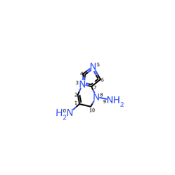 NC1=Cn2cncc2N(N)C1